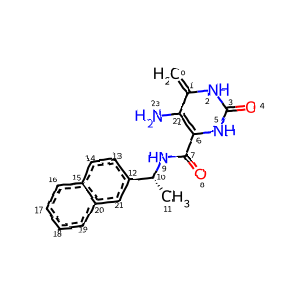 C=C1NC(=O)NC(C(=O)N[C@H](C)c2ccc3ccccc3c2)=C1N